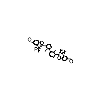 Cc1c(COc2ccc(C=O)cc2C(F)(F)F)cccc1-c1cccc(COc2ccc(C=O)cc2C(F)(F)F)c1C